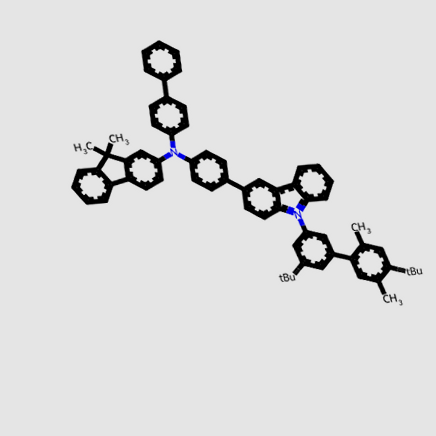 Cc1cc(C(C)(C)C)c(C)cc1-c1cc(-n2c3ccccc3c3cc(-c4ccc(N(c5ccc(-c6ccccc6)cc5)c5ccc6c(c5)C(C)(C)c5ccccc5-6)cc4)ccc32)cc(C(C)(C)C)c1